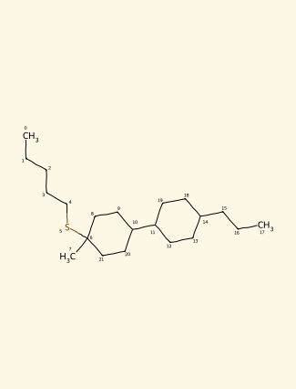 CCCCCSC1(C)CCC(C2CCC(CCC)CC2)CC1